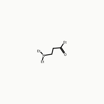 CCC(=O)CCN(CC)CC